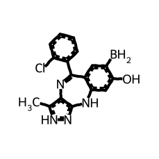 Bc1cc2c(cc1O)Nc1n[nH]c(C)c1N=C2c1ccccc1Cl